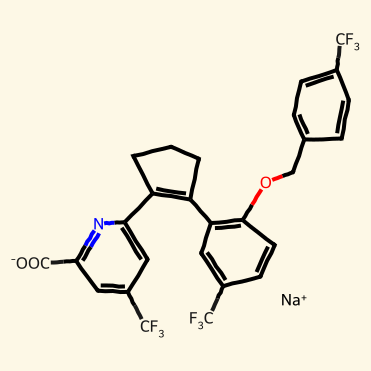 O=C([O-])c1cc(C(F)(F)F)cc(C2=C(c3cc(C(F)(F)F)ccc3OCc3ccc(C(F)(F)F)cc3)CCC2)n1.[Na+]